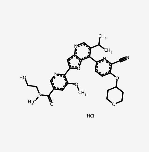 COc1cc(C(=O)N(C)CCO)cnc1-c1cc2ncc(C(C)C)c(-c3ccc(OC4CCOCC4)c(C#N)n3)c2o1.Cl